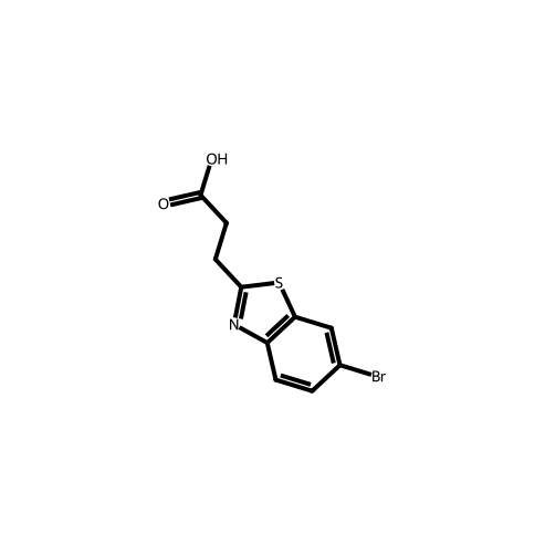 O=C(O)CCc1nc2ccc(Br)cc2s1